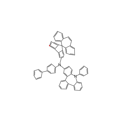 C1=Cc2ccccc2C2(c3ccccc31)c1ccccc1-c1cc(N(c3ccc(-c4ccccc4)cc3)c3ccc4c(c3)-c3ccccc3-c3ccccc3N4c3ccccc3)ccc12